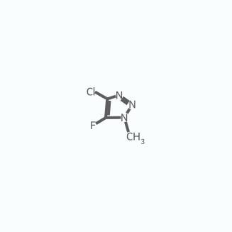 Cn1nnc(Cl)c1F